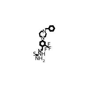 NC(=S)NN=Cc1ccc(N2CCCN(Cc3ccccc3)CC2)cc1C(F)(F)F